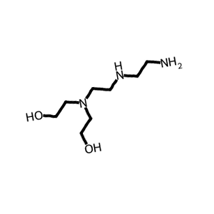 NCCNCCN(CCO)CCO